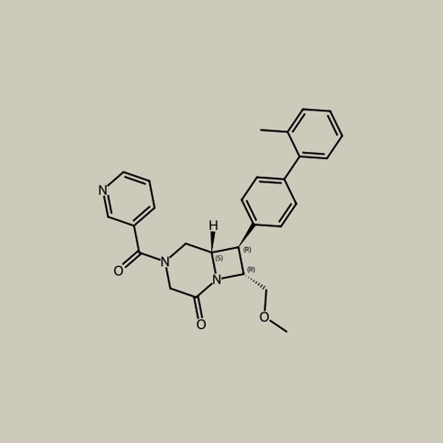 COC[C@H]1[C@H](c2ccc(-c3ccccc3C)cc2)[C@H]2CN(C(=O)c3cccnc3)CC(=O)N21